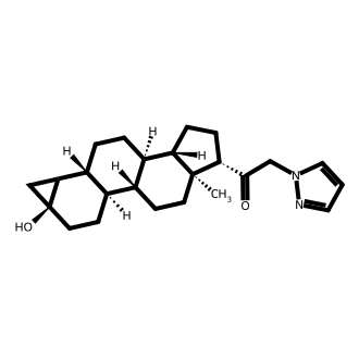 C[C@]12CC[C@@H]3[C@H]4CC[C@]5(O)CC5[C@@H]4CC[C@H]3[C@@H]1CC[C@@H]2C(=O)Cn1cccn1